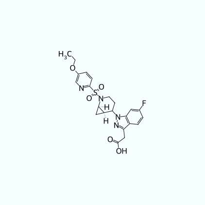 CCOc1ccc(S(=O)(=O)N2CCC(n3nc(CC(=O)O)c4ccc(F)cc43)[C@H]3C[C@H]32)nc1